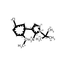 COc1ccc(Cl)cc1-c1cnn(C(C)(C)C)c1N